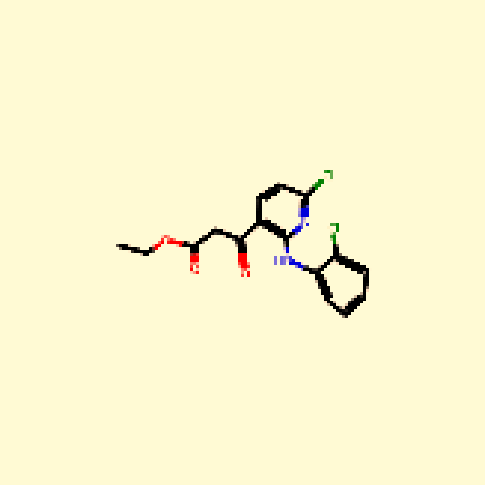 CCOC(=O)CC(=O)c1ccc(Cl)nc1Nc1ccccc1Cl